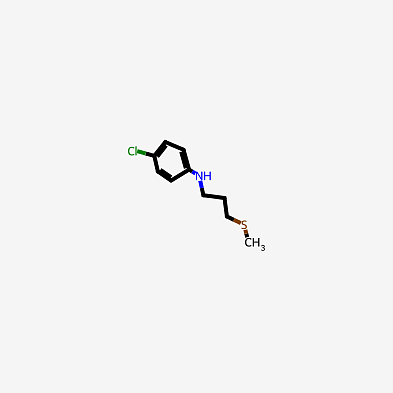 CSCCCNc1ccc(Cl)cc1